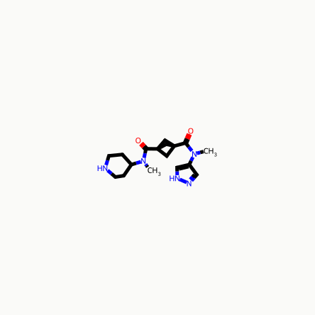 CN(C(=O)C12CC(C(=O)N(C)C3CCNCC3)(C1)C2)c1cn[nH]c1